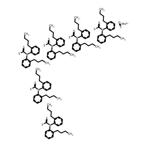 CCCCc1ccccc1N(C(=S)[S-])c1ccccc1CCCC.CCCCc1ccccc1N(C(=S)[S-])c1ccccc1CCCC.CCCCc1ccccc1N(C(=S)[S-])c1ccccc1CCCC.CCCCc1ccccc1N(C(=S)[S-])c1ccccc1CCCC.CCCCc1ccccc1N(C(=S)[S-])c1ccccc1CCCC.CCCCc1ccccc1N(C(=S)[S-])c1ccccc1CCCC.O=S.[Mo+6]